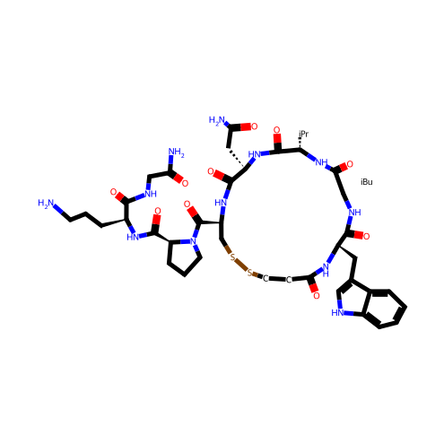 CC[C@H](C)C1NC(=O)[C@@H](Cc2c[nH]c3ccccc23)NC(=O)CCSSC[C@@H](C(=O)N2CCC[C@H]2C(=O)N[C@@H](CCCN)C(=O)NCC(N)=O)NC(=O)[C@H](CC(N)=O)NC(=O)[C@H](C(C)C)NC1=O